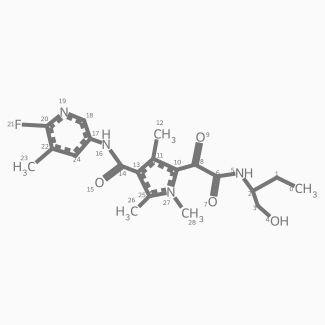 CCC(CO)NC(=O)C(=O)c1c(C)c(C(=O)Nc2cnc(F)c(C)c2)c(C)n1C